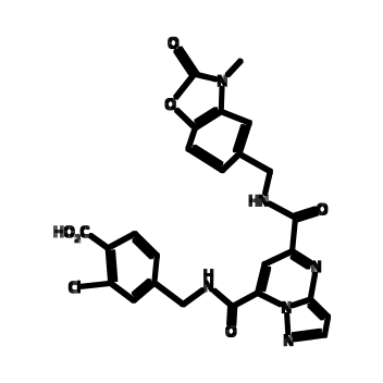 Cn1c(=O)oc2ccc(CNC(=O)c3cc(C(=O)NCc4ccc(C(=O)O)c(Cl)c4)n4nccc4n3)cc21